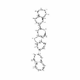 c1ccc2cc(-c3ccc4c(c3)Cc3cc(-c5ccc6ccccc6c5)ccc3-4)ccc2c1